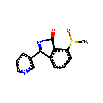 C[S+]([O-])c1cccc2c1C(=O)N=C2c1cccnc1